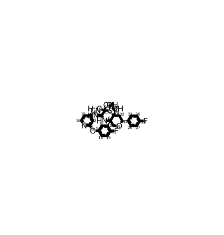 CC1(C)C(=N)N[C@@]2(c3cc(Oc4cc(C#N)ccn4)ccc3F)CO[C@@H](c3ccc(F)cc3)C[C@H]2S1(O)O